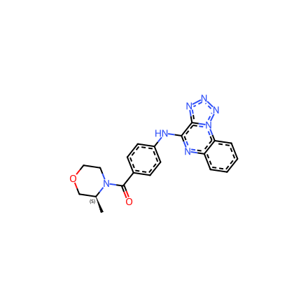 C[C@H]1COCCN1C(=O)c1ccc(Nc2nc3ccccc3n3nnnc23)cc1